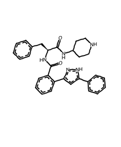 O=C(N[C@@H](Cc1ccccc1)C(=O)NC1CCNCC1)c1ccccc1-c1cc(-c2ccccc2)[nH]n1